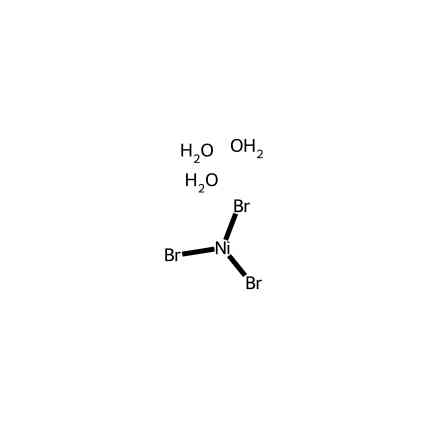 O.O.O.[Br][Ni]([Br])[Br]